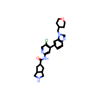 O=C(Nc1cc(-c2ccc3ncn(CC4CCOCC4)c3c2)c(Cl)cn1)C1CC2CNCC2C1